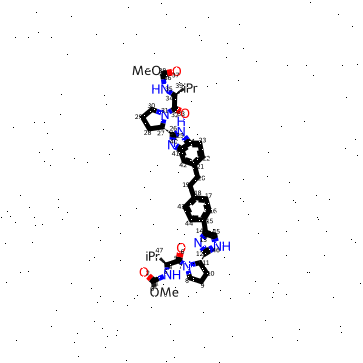 COC(=O)N[C@H](C(=O)N1CCC[C@H]1c1nc(-c2ccc(CCc3ccc4[nH]c([C@@H]5CCCN5C(=O)[C@@H](NC(=O)OC)C(C)C)nc4c3)cc2)c[nH]1)C(C)C